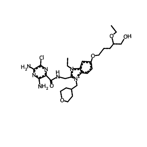 CCOC(CO)CCCOc1ccc2c(c1)n(CC)c(CNC(=O)c1nc(Cl)c(N)nc1N)[n+]2CC1CCOCC1